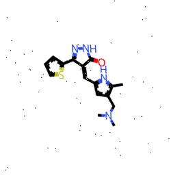 Cc1[nH]c(C=C2C(=O)NN=C2c2cccs2)cc1CN(C)C